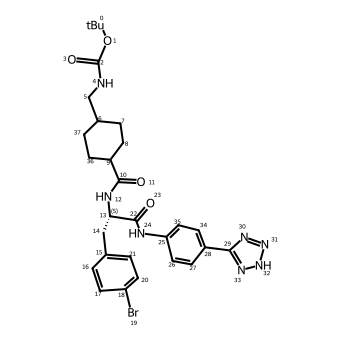 CC(C)(C)OC(=O)NCC1CCC(C(=O)N[C@@H](Cc2ccc(Br)cc2)C(=O)Nc2ccc(-c3nn[nH]n3)cc2)CC1